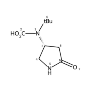 CC(C)(C)N(C(=O)O)[C@H]1CNC(=O)C1